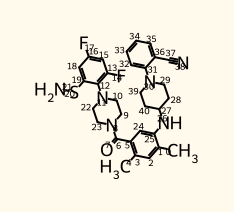 Cc1cc(C)c(C(=O)N2CCN(c3c(F)cc(F)cc3SN)CC2)cc1NC1CCN(c2ccccc2C#N)CC1